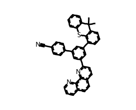 CC1(C)c2ccccc2Sc2c(-c3cc(-c4ccc(C#N)cc4)cc(-c4ccc5ccc6cccnc6c5n4)c3)cccc21